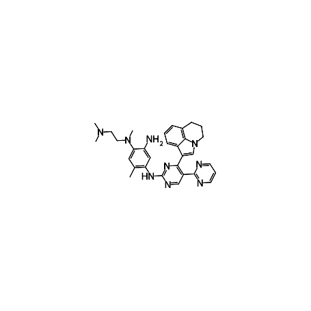 Cc1cc(N(C)CCN(C)C)c(N)cc1Nc1ncc(-c2ncccn2)c(-c2cn3c4c(cccc24)CCC3)n1